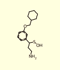 NCCC(SO)c1cccc(OCC2CCCCC2)c1